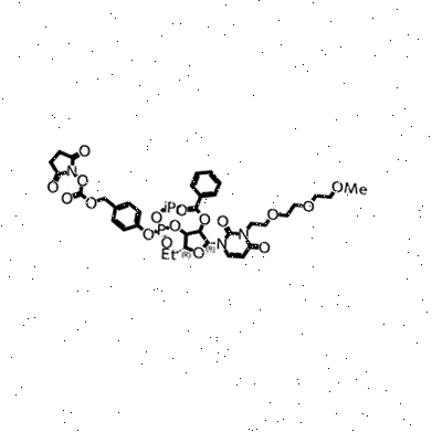 CC[C@H]1O[C@@H](n2ccc(=O)n(CCOCCOCCOC)c2=O)C(OC(=O)c2ccccc2)C1OP(=O)(Oc1ccc(COC(=O)ON2C(=O)CCC2=O)cc1)OC(C)C